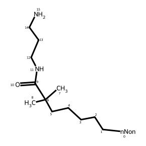 CCCCCCCCCCCCCCC(C)(C)C(=O)NCCCN